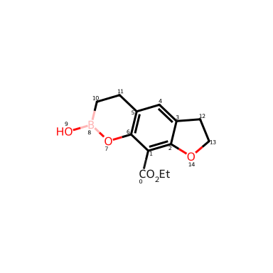 CCOC(=O)c1c2c(cc3c1OB(O)CC3)CCO2